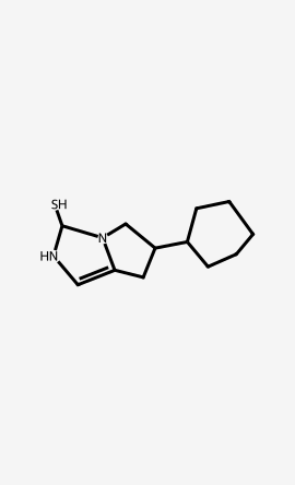 SC1NC=C2CC(C3CCCCC3)CN21